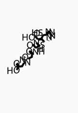 Cn1nnnc1C(S)C1=C(C(=O)O)N2C(=O)C(NC(=O)Cc3nc(CC(=O)O)no3)[C@H]2SC1